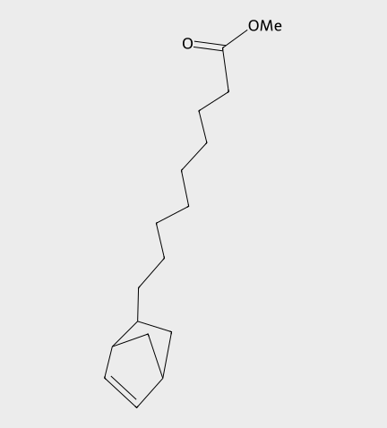 COC(=O)CCCCCCCCC1CC2C=CC1C2